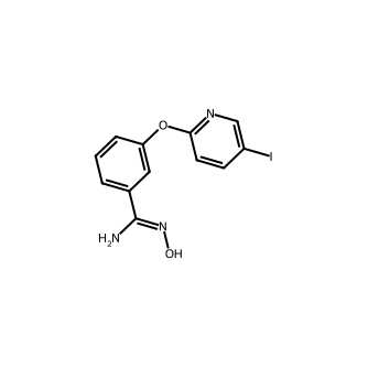 N/C(=N\O)c1cccc(Oc2ccc(I)cn2)c1